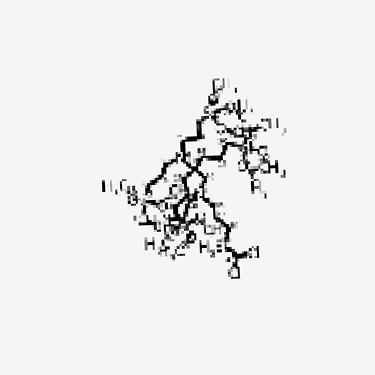 CO[Si](CCCN(CCC[Si](OC)(OC)OC)C(CCC[Si](OC)(OC)OC)(CCC[Si](OC)(OC)OC)CN(CCN)CCC[SiH2]C(Cl)Cl)(OC)OC